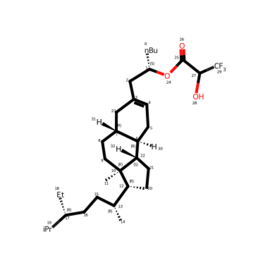 CCCC[C@@H](CC1=CC[C@@H]2[C@H](CC[C@]3(C)[C@@H]([C@H](C)CC[C@@H](CC)C(C)C)CC[C@@H]23)C1)OC(=O)C(O)C(F)(F)F